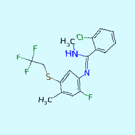 CN/C(=N\c1cc(SCC(F)(F)F)c(C)cc1F)c1ccccc1Cl